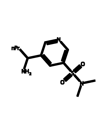 CCCC(N)c1cncc(S(=O)(=O)N(C)C)c1